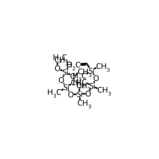 C=C[Si](C)(C)O[Si](C)(C)O[Si](C)(C)O[Si](C)(C)O[Si](OC)(OC)OC